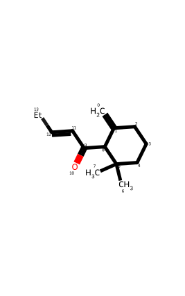 C=C1CCCC(C)(C)C1C(=O)/C=C/CC